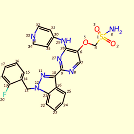 NS(=O)(=O)COc1cnc(-c2nn(Cc3ccccc3F)c3ccccc23)nc1Nc1ccncc1